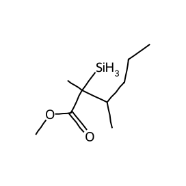 CCCC(C)C(C)([SiH3])C(=O)OC